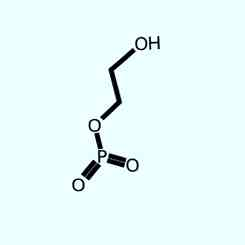 O=P(=O)OCCO